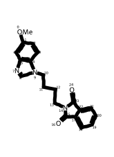 COc1ccc2c(c1)ncn2CCCCN1C(=O)c2ccccc2C1=O